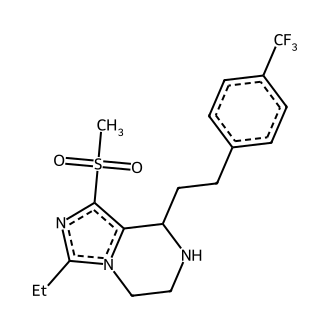 CCc1nc(S(C)(=O)=O)c2n1CCNC2CCc1ccc(C(F)(F)F)cc1